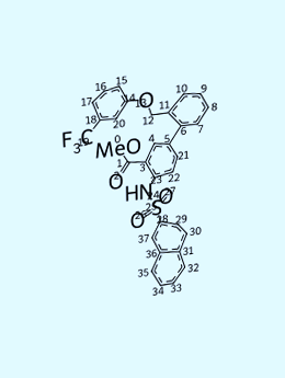 COC(=O)c1cc(-c2ccccc2COc2cccc(C(F)(F)F)c2)ccc1NS(=O)(=O)c1ccc2ccccc2c1